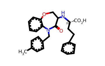 Cc1ccc(CN2C(=O)C(N[C@@H](CCc3ccccc3)C(=O)O)COc3ccccc32)cc1